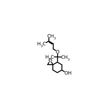 CC(C)=CCOC(C)(C)C1CC(O)CCC12CO2